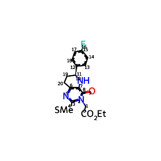 CCOC(=O)Cn1c(SC)nc2c(c1=O)N[C@H](c1ccc(F)cc1)CC2